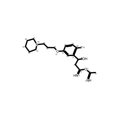 CC(=N)OC(=N)CC(O)c1cc(OCCCN2CCCCC2)ccc1F